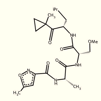 COC[C@H](NC(=O)[C@H](C)NC(=O)c1cc(C)on1)C(=O)N[C@@H](CC(C)C)C(=O)C1(C)CC1